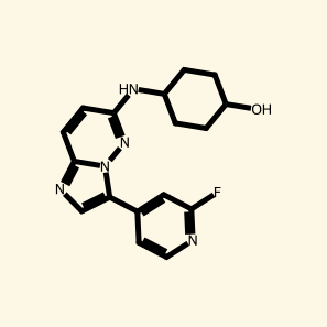 OC1CCC(Nc2ccc3ncc(-c4ccnc(F)c4)n3n2)CC1